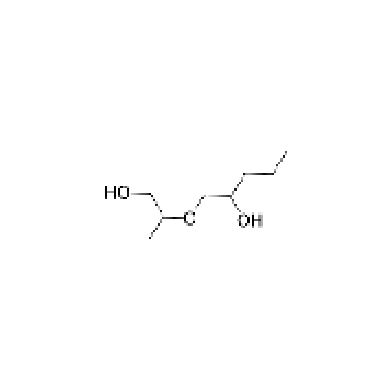 CCCC(O)COC(C)CO